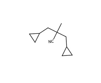 CC(C#N)(CC1CC1)CC1CC1